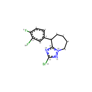 Fc1ccc(C2CCCCn3nc(Br)nc32)cc1F